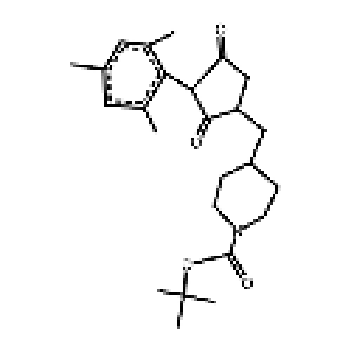 Cc1cc(C)c(C2C(=O)CC(CC3CCN(C(=O)OC(C)(C)C)CC3)C2=O)c(C)c1